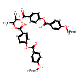 CCCCCOc1ccc(C(=O)Oc2ccc(C(=O)OC(C)C(C)OC(=O)c3ccc(OC(=O)c4ccc(OCCCCC)cc4)cc3)cc2)cc1